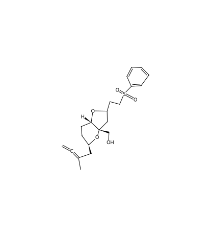 C=C=C(C)C[C@H]1CC[C@@H]2OC(CCS(=O)(=O)c3ccccc3)C[C@]2(CO)O1